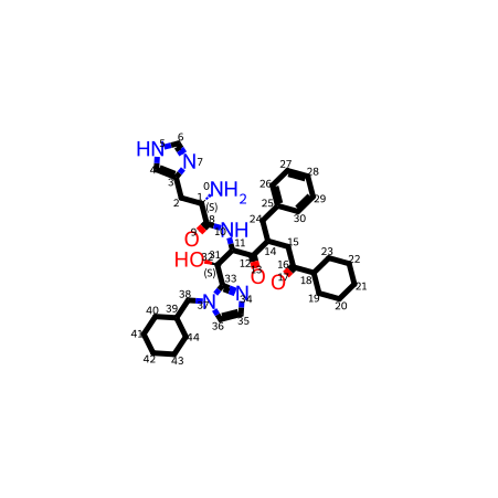 N[C@@H](Cc1c[nH]cn1)C(=O)NC(C(=O)C(CC(=O)C1CCCCC1)Cc1ccccc1)[C@H](O)c1nccn1CC1CCCCC1